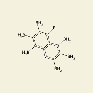 Bc1cc2c(B)c(B)c(B)c(F)c2c(B)c1B